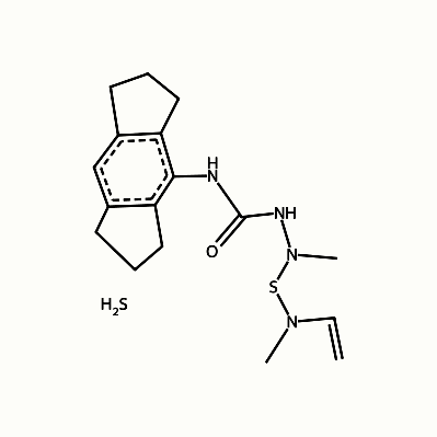 C=CN(C)SN(C)NC(=O)Nc1c2c(cc3c1CCC3)CCC2.S